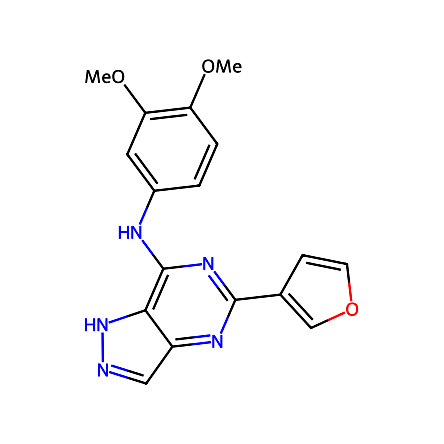 COc1ccc(Nc2nc(-c3ccoc3)nc3cn[nH]c23)cc1OC